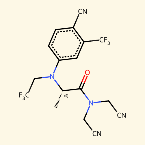 C[C@@H](C(=O)N(CC#N)CC#N)N(CC(F)(F)F)c1ccc(C#N)c(C(F)(F)F)c1